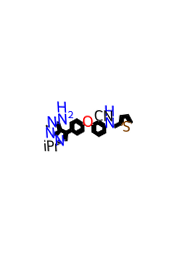 CC(C)n1cc(-c2ccc(Oc3cccc(NCc4cccs4)c3C#N)cc2)c2c(N)ncnc21